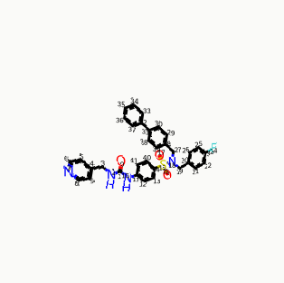 O=C(NCc1ccncc1)Nc1ccc(S(=O)(=O)N(Cc2ccc(F)cc2)Cc2ccc(-c3ccccc3)cc2)cc1